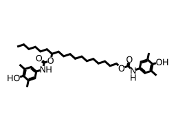 CCCCCCC(CCCCCCCCCCCOC(=O)Nc1cc(C)c(O)c(C)c1)OC(=O)Nc1cc(C)c(O)c(C)c1